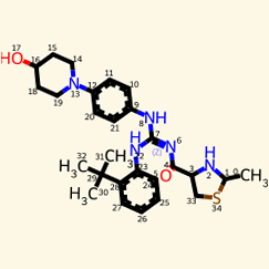 CC1NC(C(=O)/N=C(/Nc2ccc(N3CCC(O)CC3)cc2)Nc2ccccc2C(C)(C)C)CS1